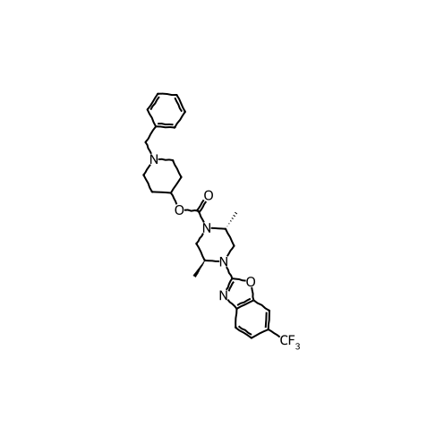 C[C@@H]1CN(c2nc3ccc(C(F)(F)F)cc3o2)[C@@H](C)CN1C(=O)OC1CCN(Cc2ccccc2)CC1